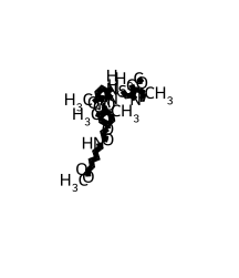 COC(=O)CCCCCNC(=O)COc1cc(C)c(S(=O)(=O)c2c(OC)ccc3[nH]c(SCc4ncc(C)c(OC)c4C)nc23)c(C)c1